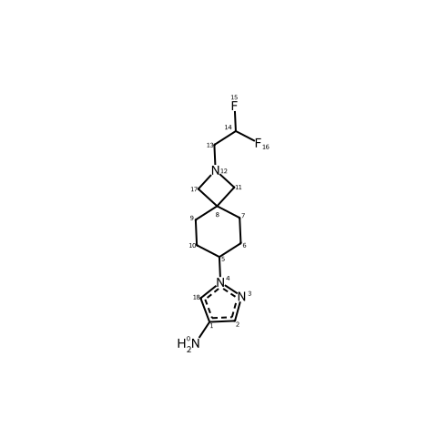 Nc1cnn(C2CCC3(CC2)CN(CC(F)F)C3)c1